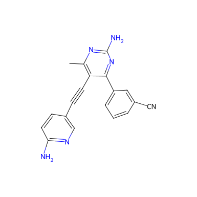 Cc1nc(N)nc(-c2cccc(C#N)c2)c1C#Cc1ccc(N)nc1